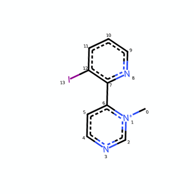 C[n+]1cnccc1-c1ncccc1I